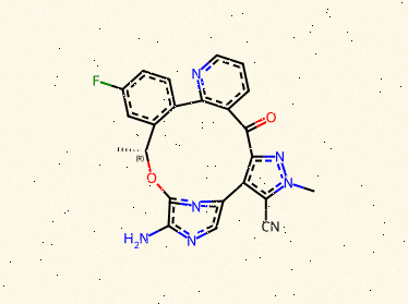 C[C@H]1Oc2nc(cnc2N)-c2c(nn(C)c2C#N)C(=O)c2cccnc2-c2ccc(F)cc21